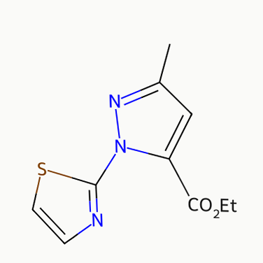 CCOC(=O)c1cc(C)nn1-c1nccs1